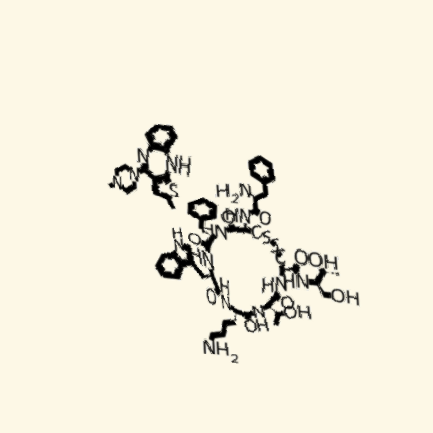 CC(O)[C@@H]1NC(=O)[C@H](CCCCN)NC(=O)[C@@H](Cc2c[nH]c3ccccc23)NC(=O)[C@H](Cc2ccccc2)NC(=O)[C@@H](NC(=O)[C@H](N)Cc2ccccc2)CSSC[C@@H](C(=O)N[C@H](CO)[C@@H](C)O)NC1=O.Cc1cc2c(s1)Nc1ccccc1N=C2N1CCN(C)CC1